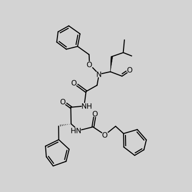 CC(C)C[C@@H](C=O)N(CC(=O)NC(=O)[C@@H](Cc1ccccc1)NC(=O)OCc1ccccc1)OCc1ccccc1